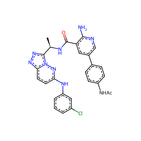 CC(=O)Nc1ccc(-c2cnc(N)c(C(=O)N[C@H](C)c3nnc4ccc(Nc5cccc(Cl)c5)nn34)c2)cc1